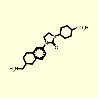 NCC1CCc2cc(N3CCN(C4CCC(C(=O)O)CC4)C3=O)ccc2C1